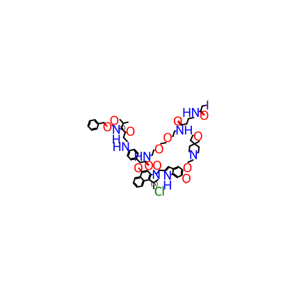 COc1cc2[nH]c(C(=O)N3C[C@@H](CCl)c4c3cc(OC(C(=O)NCCOCCOCCNC(=O)CCCNC(=O)CI)c3ccc(NCCC(=O)[C@@H](NC(=O)OCc5ccccc5)C(C)C)cc3)c3ccccc43)cc2cc1OCCN1CCC2(CCOC2)CC1